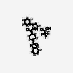 O=C(C1CCN(c2nc3ccccc3o2)CC1)N1N=CCC1c1ccccc1.O=C(O)C(F)(F)F